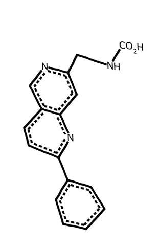 O=C(O)NCc1cc2nc(-c3ccccc3)ccc2cn1